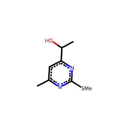 CSc1nc(C)cc(C(C)O)n1